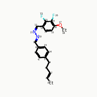 CC/C=C/CCc1ccc(/C=N/N=C\c2ccc(OCC)c(F)c2F)cc1